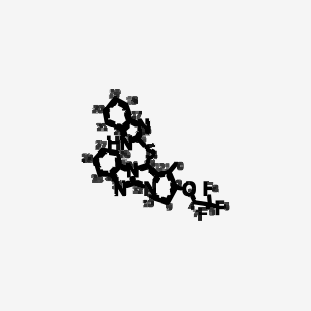 Cc1c(OCC(F)(F)F)ccn2c1c(Sc1nc3ccccc3[nH]1)n1c3ccccc3nc21